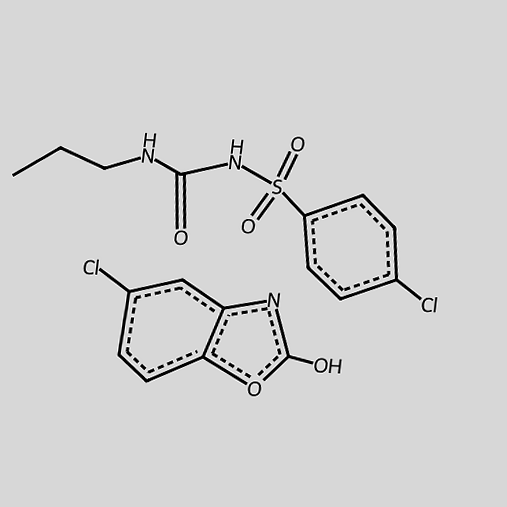 CCCNC(=O)NS(=O)(=O)c1ccc(Cl)cc1.Oc1nc2cc(Cl)ccc2o1